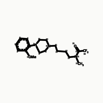 COc1ccccc1N1CCN(CCCCN(C)C(=O)C(F)(F)F)CC1